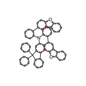 c1ccc(C2(c3ccccc3)c3ccccc3-c3ccc(N(c4ccccc4-c4ccc5oc6ccccc6c5c4)c4ccccc4-c4ccc5oc6ccccc6c5c4)cc32)cc1